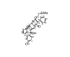 COCCOc1nc2ccc(C(O)(c3ccc(Cl)cc3)c3cncn3C)cc2c(Cl)c1-c1ccccc1